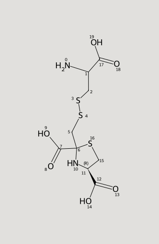 NC(CSSCC1(C(=O)O)N[C@H](C(=O)O)CS1)C(=O)O